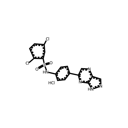 Cl.O=S(=O)(Nc1ccc(-c2cnc3cn[nH]c3n2)cc1)c1cc(Cl)ccc1Cl